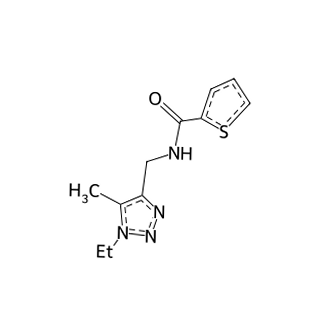 CCn1nnc(CNC(=O)c2cccs2)c1C